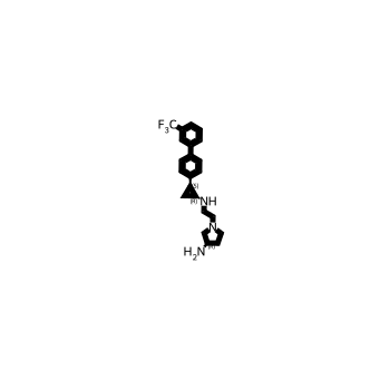 N[C@@H]1CCN(CCN[C@@H]2C[C@H]2c2ccc(-c3cccc(C(F)(F)F)c3)cc2)C1